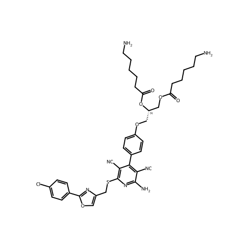 [C-]#[N+]c1c(N)nc(SCc2coc(-c3ccc(Cl)cc3)n2)c(C#N)c1-c1ccc(OC[C@@H](COC(=O)CCCCCN)OC(=O)CCCCCN)cc1